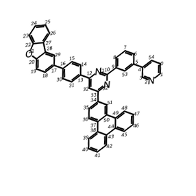 c1cncc(-c2cccc(-c3nc(-c4ccc(-c5ccc6oc7ccccc7c6c5)cc4)cc(-c4ccc5c6ccccc6c6ccccc6c5c4)n3)c2)c1